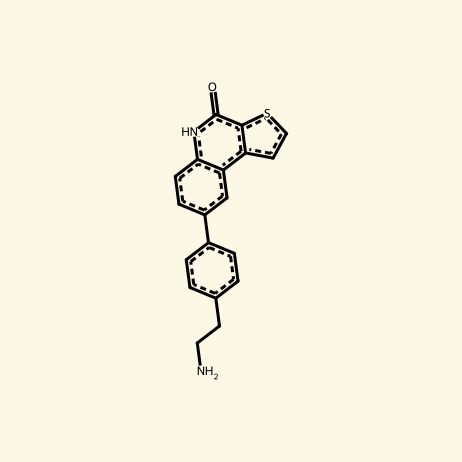 NCCc1ccc(-c2ccc3[nH]c(=O)c4sccc4c3c2)cc1